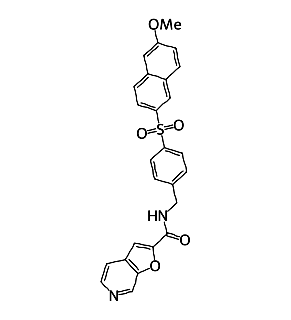 COc1ccc2cc(S(=O)(=O)c3ccc(CNC(=O)c4cc5ccncc5o4)cc3)ccc2c1